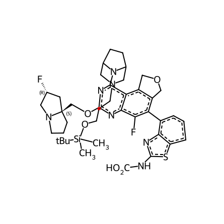 CC(C)(C)[Si](C)(C)OCCCN1CC2CCC(C1)N2c1nc(OC[C@@]23CCCN2C[C@H](F)C3)nc2c(F)c(-c3cccc4sc(NC(=O)O)nc34)c3c(c12)COC3